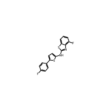 Fc1ccc(-c2ccc(Nc3nc4c(F)cccc4s3)s2)cc1